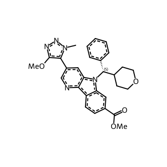 COC(=O)c1ccc2c3ncc(-c4c(OC)nnn4C)cc3n([C@H](c3ccccc3)C3CCOCC3)c2c1